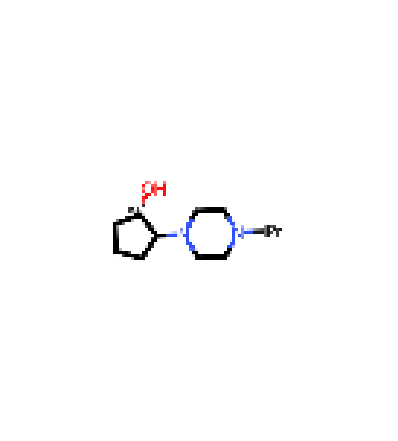 CC(C)N1CCN(C2CCC[C@@H]2O)CC1